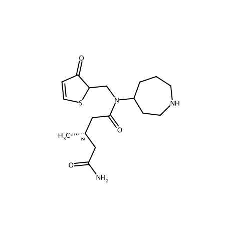 C[C@@H](CC(N)=O)CC(=O)N(CC1SC=CC1=O)C1CCCNCC1